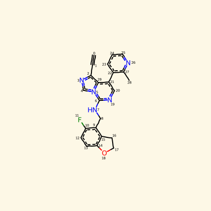 C#Cc1ncn2c(NCc3c(F)ccc4c3CCO4)ncc(-c3cccnc3C)c12